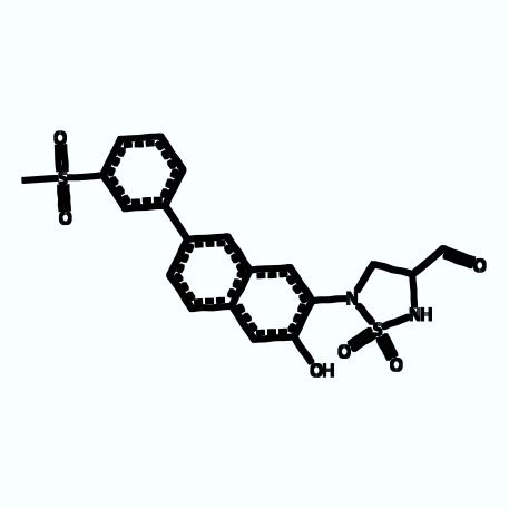 CS(=O)(=O)c1cccc(-c2ccc3cc(O)c(N4CC(C=O)NS4(=O)=O)cc3c2)c1